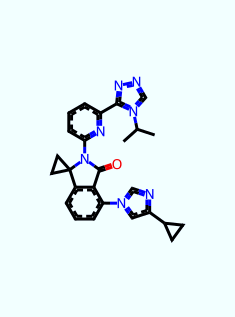 CC(C)n1cnnc1-c1cccc(N2C(=O)c3c(-n4cnc(C5CC5)c4)cccc3C23CC3)n1